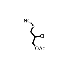 CC(=O)OCC(Cl)CSC#N